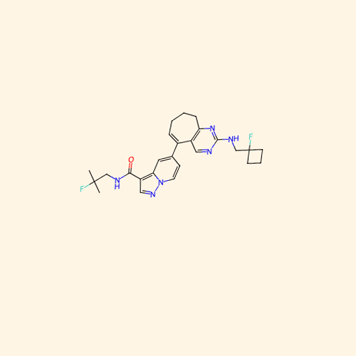 CC(C)(F)CNC(=O)c1cnn2ccc(C3=CCCCc4nc(NCC5(F)CCC5)ncc43)cc12